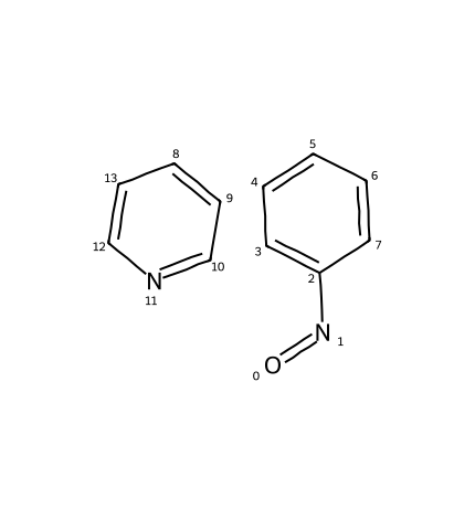 O=Nc1ccccc1.c1ccncc1